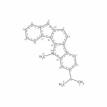 CC(C)c1ccc2c3ccc4oc5ccccc5c4c3n(C)c2c1